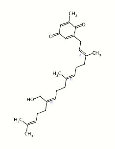 CC(C)=CCC/C(=C/CC/C(C)=C/CC/C(C)=C/CC1=CC(=O)C=C(C)C1=O)CO